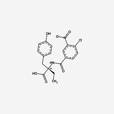 CC[C@@](Cc1ccc(O)cc1)(NC(=O)c1ccc(Cl)c([N+](=O)[O-])c1)C(=O)O